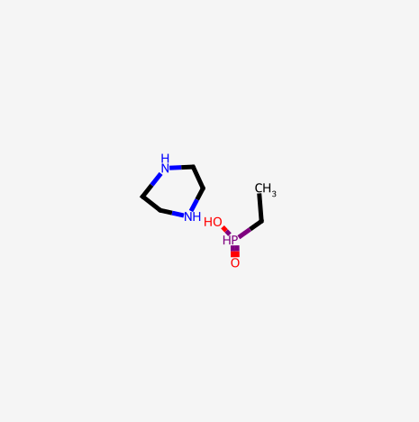 C1CNCCN1.CC[PH](=O)O